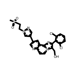 CS(=O)(=O)CCn1cc(-c2cnc3ccn4c(CO)c(-c5c(Cl)cccc5Cl)nc4c3c2)cn1